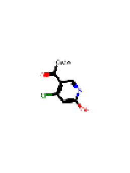 COC(=O)c1cnc(O)cc1Cl